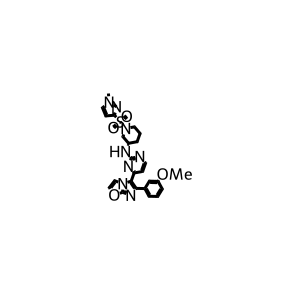 [CH2]Oc1cccc(-c2nc3occn3c2-c2ccnc(N[C@@H]3CCCN(S(=O)(=O)c4ccn(C)n4)C3)n2)c1